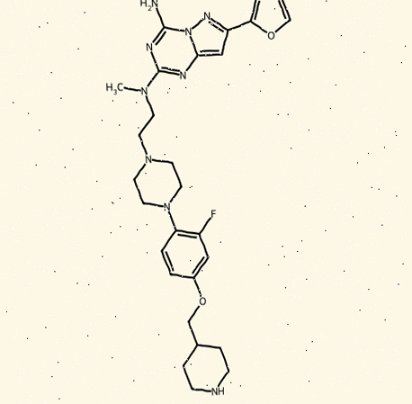 CN(CCN1CCN(c2ccc(OCC3CCNCC3)cc2F)CC1)c1nc(N)n2nc(-c3ccco3)cc2n1